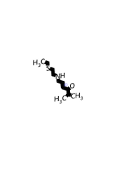 CCSCCNC/C=C/C(=O)C(C)C